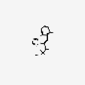 COC(C)(C)C(O)C(=Cc1c(Cl)cccc1Cl)n1cncn1